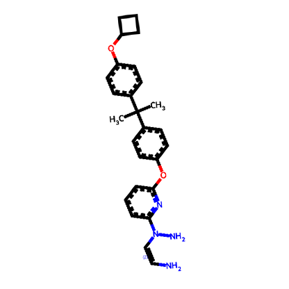 CC(C)(c1ccc(Oc2cccc(N(N)/C=C\N)n2)cc1)c1ccc(OC2CCC2)cc1